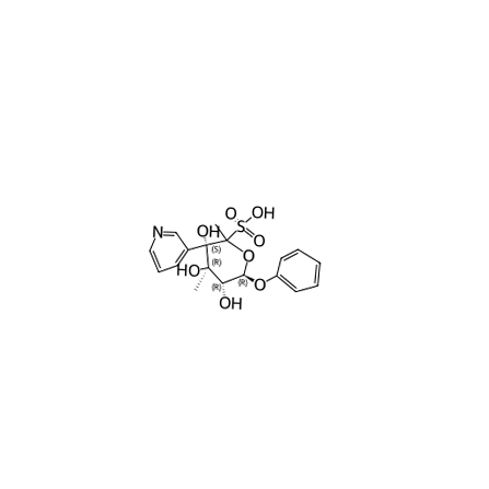 CC1(S(=O)(=O)O)O[C@@H](Oc2ccccc2)[C@H](O)[C@@](C)(O)[C@@]1(O)c1cccnc1